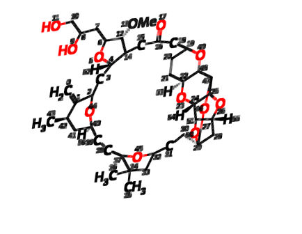 C=C1C2C[C@@H]3OC(CC(O)CO)[C@H](OC)C3CC(=O)CC3CC[C@@H]4O[C@@H]5C6O[C@@H]7C[C@](CCC8CC(C)(C)C(CC[C@@H](C[C@H]1C)O2)O8)(OC6C4O3)OC57